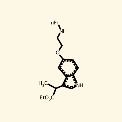 CCCNCCOc1ccc2[nH]cc(C(C)C(=O)OCC)c2c1